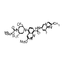 COc1cc2c(N3C[C@@H](C)N(C(=O)OC(C)(C)C)[C@@H](C)C3)ccc(C(=O)Nc3cc(F)c4nc(C)cn4c3)c2nn1